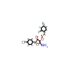 NC1=C(OSCc2ccc(F)cc2F)C(=O)C(c2ccc(Cl)cc2)O1